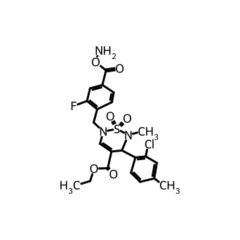 CCOC(=O)C1=CN(Cc2ccc(C(=O)ON)cc2F)S(=O)(=O)N(C)C1c1ccc(C)cc1Cl